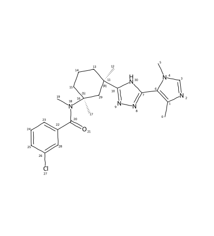 Cc1ncn(C)c1-c1nnc([C@]2(C)CCC[C@](C)(N(C)C(=O)c3cccc(Cl)c3)C2)[nH]1